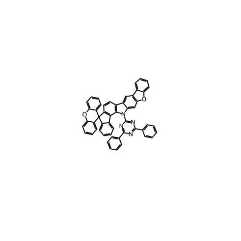 c1ccc(-c2nc(-c3ccccc3)nc(-n3c4cc5oc6ccccc6c5cc4c4ccc5c(c43)-c3ccccc3C53c4ccccc4Oc4ccccc43)n2)cc1